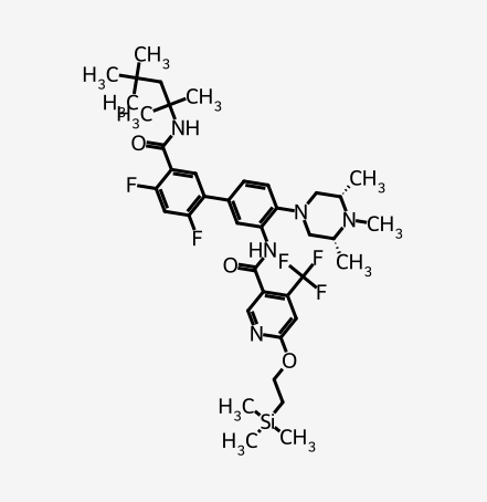 C[C@@H]1CN(c2ccc(-c3cc(C(=O)NC(C)(C)CC(C)(C)C)c(F)cc3F)cc2NC(=O)c2cnc(OCC[Si](C)(C)C)cc2C(F)(F)F)C[C@H](C)N1C